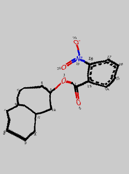 O=C(OC1CCC2CCCCC2C1)c1ccccc1[N+](=O)[O-]